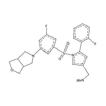 CNCc1cc(-c2ccccc2F)n(S(=O)(=O)c2cc(F)cc(N3CC4COCC4C3)c2)c1